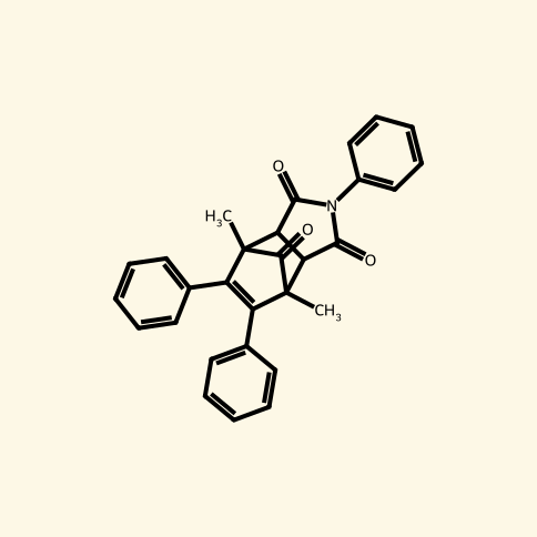 CC12C(=O)C(C)(C(c3ccccc3)=C1c1ccccc1)C1C(=O)N(c3ccccc3)C(=O)C12